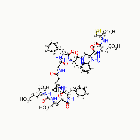 C[C@@H](CCC(=O)NCC(=O)N[C@@H](Cc1ccccc1)C(=O)NC(Cc1ccccc1)C(=O)NC[C@H](N)C(=O)N[C@@H](CC(=O)O)C(=O)N[C@@H](CS)C(=O)O)NC(=O)C(Cc1ccccc1)NC(=O)CC[C@H](NC(=O)N[C@@H](CCC(=O)O)C(=O)O)C(=O)O